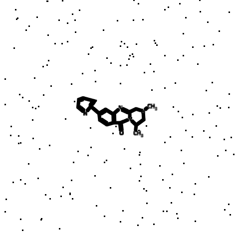 CC1CN(C)Cc2nc3cc(-c4ccccn4)ccc3c(=O)n21